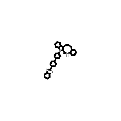 C=C1Nc2ccccc2C/C=C\c2c1n(-c1ccc(-c3ccc(-c4nc5ccccc5o4)cc3)cc1)c1ccccc21